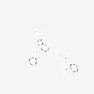 C=Cc1cnn2c(NCc3cccnc3)cc(C3CCN(C(=O)C4CC(=O)c5ccccc54)CC3)nc12